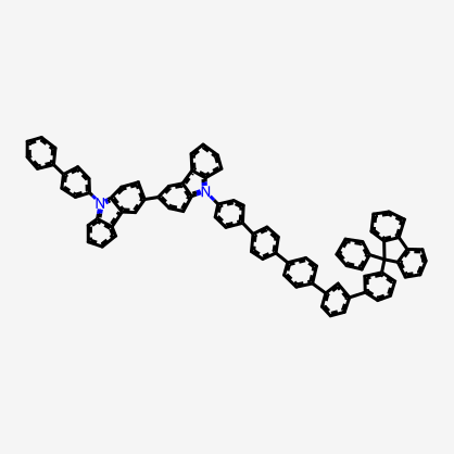 c1ccc(-c2ccc(-n3c4ccccc4c4cc(-c5ccc6c(c5)c5ccccc5n6-c5ccc(-c6ccc(-c7ccc(-c8cccc(-c9cccc(C%10(c%11ccccc%11)c%11ccccc%11-c%11ccccc%11%10)c9)c8)cc7)cc6)cc5)ccc43)cc2)cc1